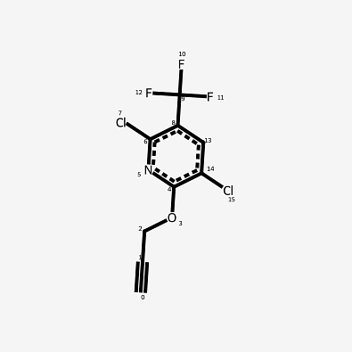 C#CCOc1nc(Cl)c(C(F)(F)F)cc1Cl